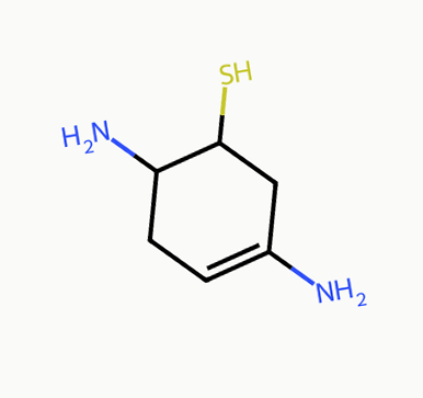 NC1=CCC(N)C(S)C1